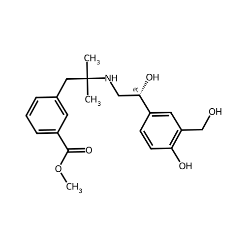 COC(=O)c1cccc(CC(C)(C)NC[C@H](O)c2ccc(O)c(CO)c2)c1